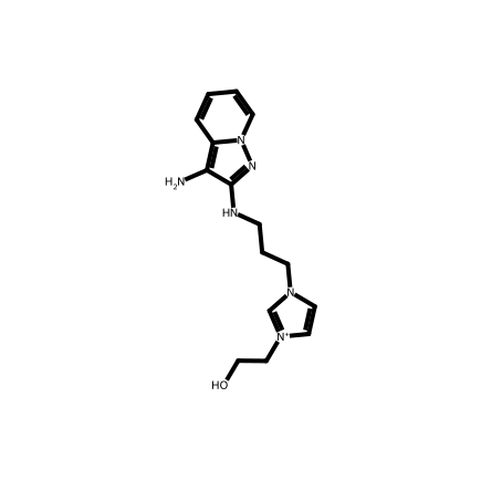 Nc1c(NCCCn2cc[n+](CCO)c2)nn2ccccc12